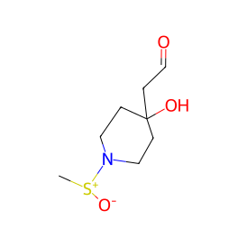 C[S+]([O-])N1CCC(O)(CC=O)CC1